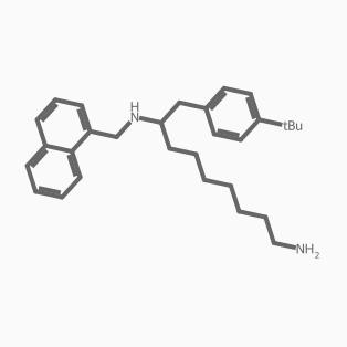 CC(C)(C)c1ccc(CC(CCCCCCCN)NCc2cccc3ccccc23)cc1